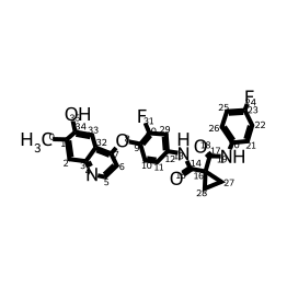 Cc1cc2nccc(Oc3ccc(NC(=O)C4(C(=O)Nc5ccc(F)cc5)CC4)cc3F)c2cc1O